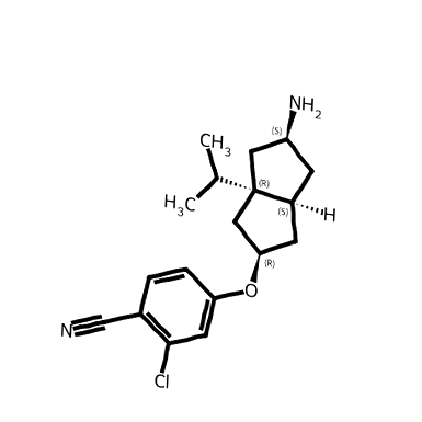 CC(C)[C@]12C[C@@H](N)C[C@H]1C[C@@H](Oc1ccc(C#N)c(Cl)c1)C2